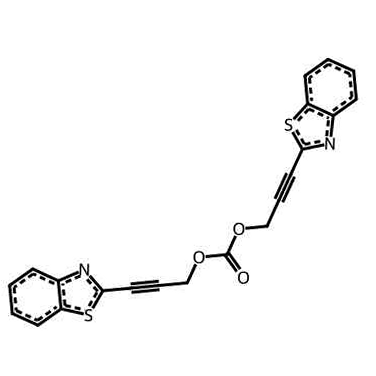 O=C(OCC#Cc1nc2ccccc2s1)OCC#Cc1nc2ccccc2s1